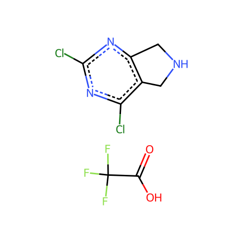 Clc1nc(Cl)c2c(n1)CNC2.O=C(O)C(F)(F)F